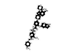 CC(C)c1ccccc1[C@]1(C)COCCN1C1CC2(CCN(c3ccc(C(=O)NS(=O)(=O)c4cnc(NC[C@H]5CC[C@@H](C)CC5)c([N+](=O)[O-])c4)c(Oc4cnc5[nH]ccc5c4)c3)CC2)C1